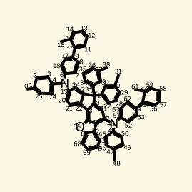 Cc1ccc(N(c2ccc(-c3ccccc3C)cc2)c2ccc3c(c2)C(c2cccc(C)c2)(c2cccc(C)c2)c2cc(N(c4ccc(C)cc4)c4ccc(-c5ccccc5C)cc4)c4c(oc5ccccc54)c2-3)cc1